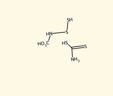 NC(=S)S.O=C(O)NSS